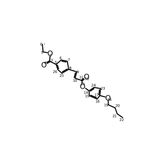 [CH2]COC(=O)c1ccc(/C=C/C(=O)Oc2ccc(OCCCC)cc2)cc1